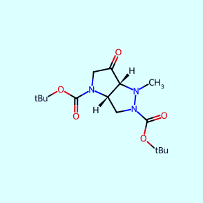 CN1[C@H]2C(=O)CN(C(=O)OC(C)(C)C)[C@H]2CN1C(=O)OC(C)(C)C